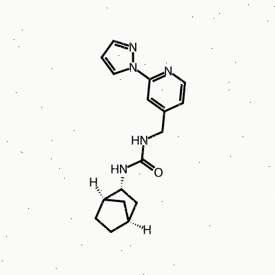 O=C(NCc1ccnc(-n2cccn2)c1)N[C@@H]1C[C@H]2CC[C@@H]1C2